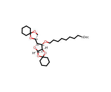 CCCCCCCCCCCCCCCCCCO[C@H]1[C@H]2OC3(CCCCC3)O[C@H]2O[C@@H]1[C@H]1COC2(CCCCC2)O1